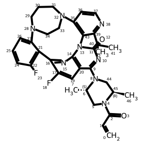 C=CC(=O)N1C[C@H](C)N(c2nc(=O)n3c4nc(c(F)cc24)-c2c(F)cccc2N2CCCN(CC2)c2ccnc(C(C)C)c2-3)C[C@H]1C